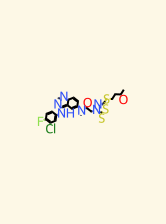 CC(=O)CCSc1nn(CC(=O)N(C)c2ccc3ncnc(Nc4ccc(F)c(Cl)c4)c3c2)c(=S)s1